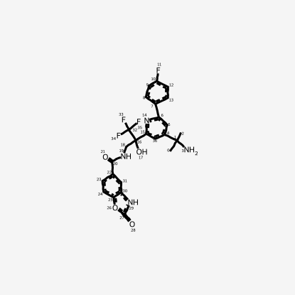 CC(C)(N)c1cc(-c2ccc(F)cc2)nc(C(O)(CNC(=O)c2ccc3oc(=O)[nH]c3c2)C(F)(F)F)c1